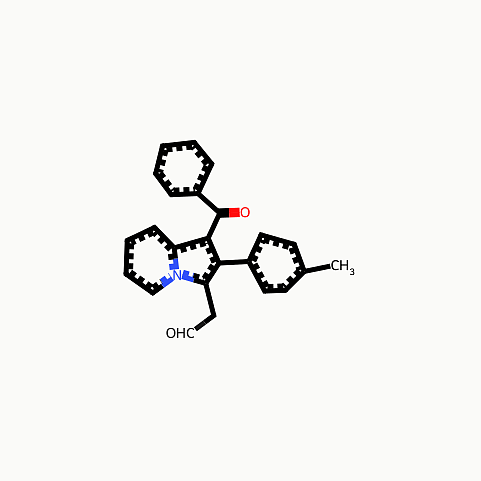 Cc1ccc(-c2c(C(=O)c3ccccc3)c3ccccn3c2CC=O)cc1